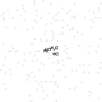 Cl.Cl.O.[Pd]